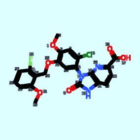 COc1cc(Cl)c(-n2c(=O)[nH]c3ccc(C(=O)O)nc32)cc1OCc1c(F)cccc1OC